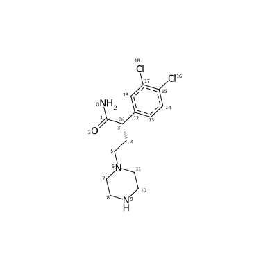 NC(=O)[C@@H](CCN1CCNCC1)c1ccc(Cl)c(Cl)c1